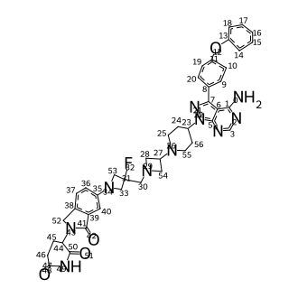 Nc1ncnc2c1c(-c1ccc(Oc3ccccc3)cc1)nn2C1CCN(C2CN(CC3(F)CN(c4ccc5c(c4)C(=O)N(C4CCC(=O)NC4=O)C5)C3)C2)CC1